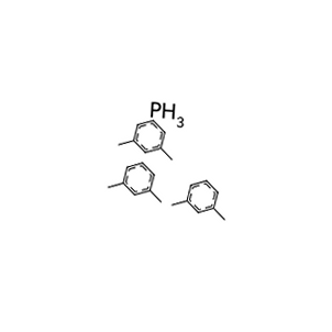 Cc1cccc(C)c1.Cc1cccc(C)c1.Cc1cccc(C)c1.P